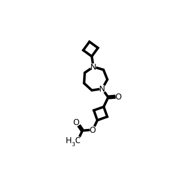 CC(=O)OC1CC(C(=O)N2CCCN(C3CCC3)CC2)C1